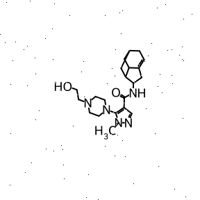 Cn1ncc(C(=O)NC2CC3=CCC4CC3C2C4)c1N1CCN(CCO)CC1